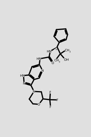 CC(C)(O)[C@@H](NC(=O)Nc1cc2[nH]nc(N3CCOC(C(F)(F)F)C3)c2cn1)c1ccccc1